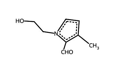 Cc1ccn(CCO)c1C=O